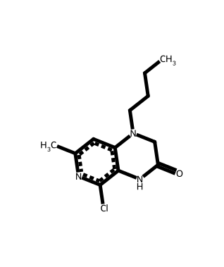 CCCCN1CC(=O)Nc2c1cc(C)nc2Cl